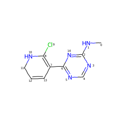 CNc1ncnc(C2=C(Cl)NCC=C2)n1